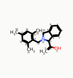 C=C(O)C1c2ccccc2CN1Cc1c(C)cc(C)cc1C